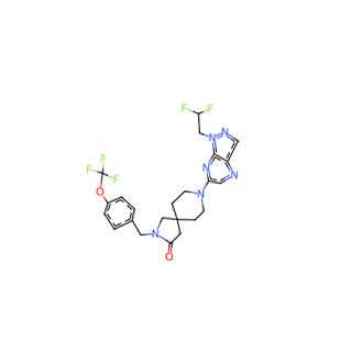 O=C1CC2(CCN(c3cnc4cnn(CC(F)F)c4n3)CC2)CN1Cc1ccc(OC(F)(F)F)cc1